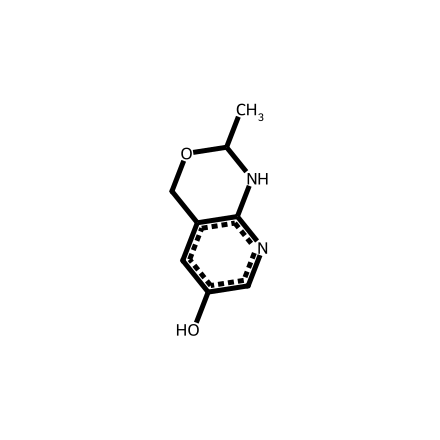 CC1Nc2ncc(O)cc2CO1